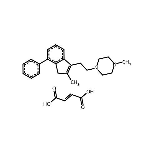 CC1=C(CCN2CCN(C)CC2)c2cccc(-c3ccccc3)c2C1.O=C(O)C=CC(=O)O